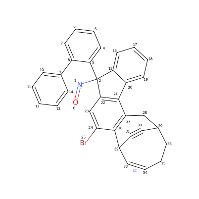 O=NC1(c2ccccc2-c2ccccc2)c2ccccc2-c2c1cc(Br)c1c2CC2C#CC1/C=C\CC2